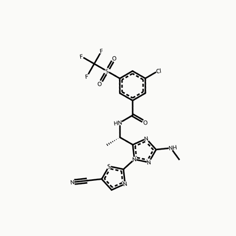 CNc1nc([C@H](C)NC(=O)c2cc(Cl)cc(S(=O)(=O)C(F)(F)F)c2)n(-c2ncc(C#N)s2)n1